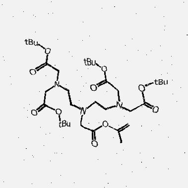 C=C(C)OC(=O)CN(CCN(CC(=O)OC(C)(C)C)CC(=O)OC(C)(C)C)CCN(CC(=O)OC(C)(C)C)CC(=O)OC(C)(C)C